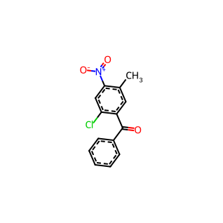 Cc1cc(C(=O)c2ccccc2)c(Cl)cc1[N+](=O)[O-]